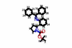 CC(C)(C)OC(=O)N1CCC[C@H]1c1ccccc1N=C(c1ccccc1)c1ccccc1